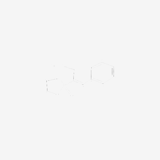 CCOC(=O)C/C(=C\c1ccccc1)P1(=O)OCCO1